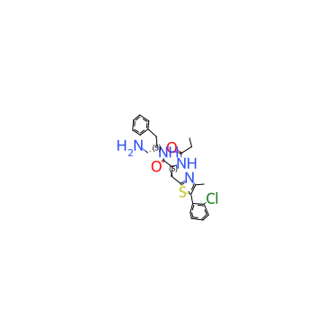 CCC(=O)N[C@@H](Cc1nc(C)c(-c2ccccc2Cl)s1)C(=O)N[C@H](CN)Cc1ccccc1